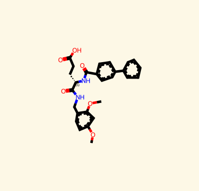 COc1ccc(CNC(=O)[C@H](CCC(=O)O)NC(=O)c2ccc(-c3ccccc3)cc2)c(OC)c1